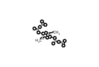 CCCCOc1ccc2cc(-c3cccc(N(c4ccccc4)c4ccc(-n5c6ccccc6c6ccccc65)cc4)c3)ccc2c1-c1c(COCCC)ccc2cc(-c3cccc(N(c4ccccc4)c4ccc(-n5c6ccccc6c6ccccc65)cc4)c3)ccc12